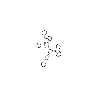 c1ccc(-c2nc(-c3cc(-c4ccc(-c5ccncc5)cc4)cc(-n4c5ccccc5c5ccccc54)c3)cc(-c3cccc4c3sc3ccccc34)n2)cc1